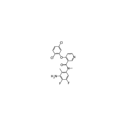 Cc1c(N(C)C(=O)c2cnccc2Oc2cc(Cl)ccc2Cl)cc(F)c(F)c1N